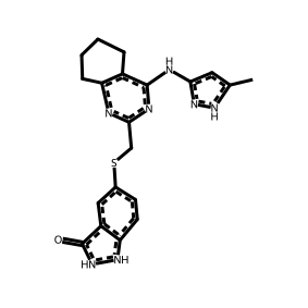 Cc1cc(Nc2nc(CSc3ccc4[nH][nH]c(=O)c4c3)nc3c2CCCC3)n[nH]1